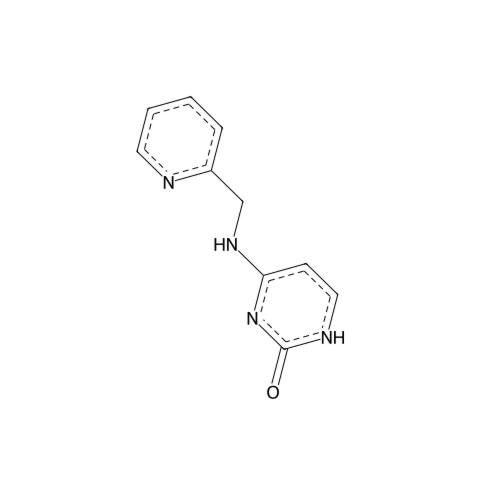 O=c1nc(NCc2ccccn2)cc[nH]1